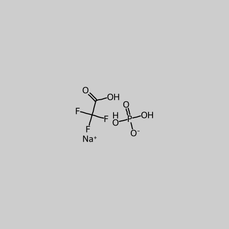 O=C(O)C(F)(F)F.O=P([O-])(O)O.[Na+]